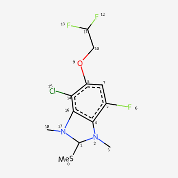 CSC1N(C)c2c(F)cc(OCC(F)F)c(Cl)c2N1C